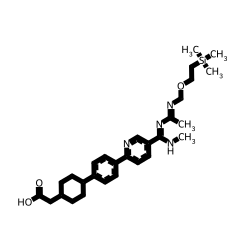 CN/C(=N\C(C)=N\COCC[Si](C)(C)C)c1ccc(-c2ccc(C3CCC(CC(=O)O)CC3)cc2)nc1